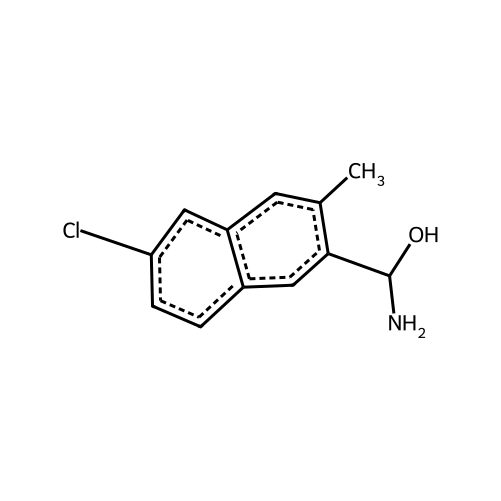 Cc1cc2cc(Cl)ccc2cc1C(N)O